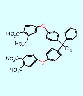 O=C(O)c1ccc(Oc2ccc(C(c3ccccc3)(c3ccc(Oc4ccc(C(=O)O)c(C(=O)O)c4)cc3)C(F)(F)F)cc2)cc1C(=O)O